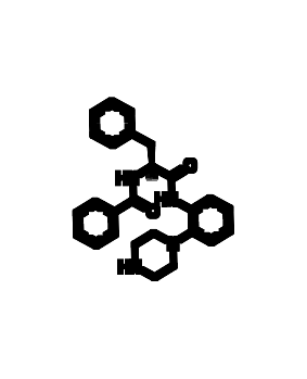 O=C(N[C@@H](Cc1ccccc1)C(=O)Nc1ccccc1N1CCNCC1)c1ccccc1